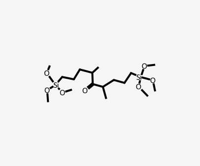 CO[Si](CCCC(C)C(=O)C(C)CCC[Si](OC)(OC)OC)(OC)OC